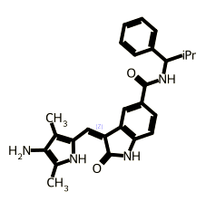 Cc1[nH]c(/C=C2\C(=O)Nc3ccc(C(=O)NC(c4ccccc4)C(C)C)cc32)c(C)c1N